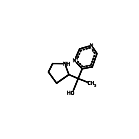 CC(O)(c1ccncn1)C1CCCN1